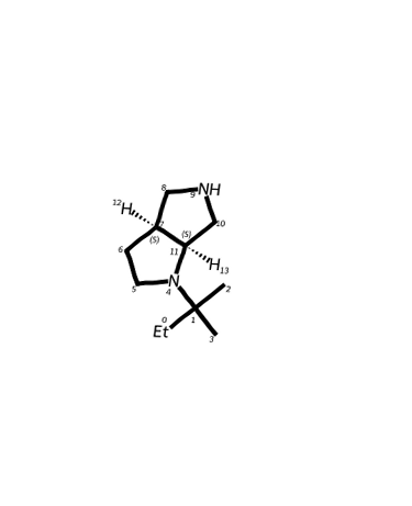 CCC(C)(C)N1CC[C@H]2CNC[C@H]21